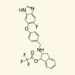 O=C(OC1c2ccccc2CC1NCc1ccc(Oc2cc3[nH]cnc3cc2F)cc1)C(F)(F)F